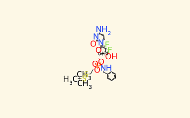 CC(C)(C)SSCCOP(=O)(NCc1ccccc1)OC[C@@H]1O[C@@H](n2ccc(N)nc2=O)C(F)(F)[C@@H]1O